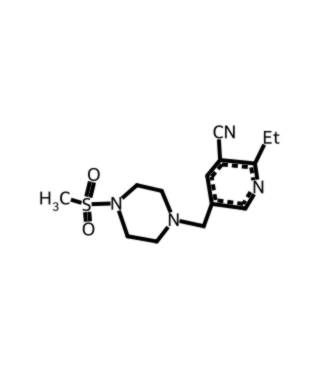 CCc1ncc(CN2CCN(S(C)(=O)=O)CC2)cc1C#N